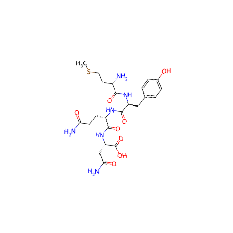 CSCC[C@H](N)C(=O)N[C@@H](Cc1ccc(O)cc1)C(=O)N[C@@H](CCC(N)=O)C(=O)N[C@@H](CC(N)=O)C(=O)O